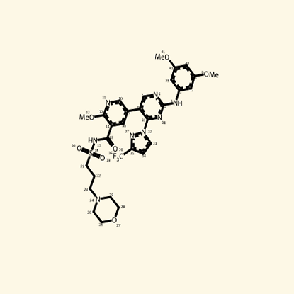 COc1cc(Nc2ncc(-c3cnc(OC)c(C(=O)NS(=O)(=O)CCCN4CCOCC4)c3)c(-n3ccc(C(F)(F)F)n3)n2)cc(OC)c1